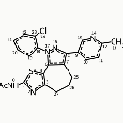 CC(=O)Nc1nc2c(s1)-c1c(c(-c3ccc(C)nc3)nn1-c1ccccc1Cl)CCC2